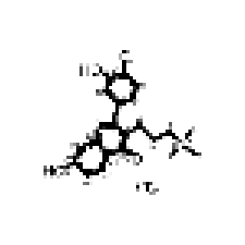 C[N+](C)(C)CCCc1c(-c2ccc(O)c(O)c2)oc2cc(O)ccc2c1=O.[Cl-]